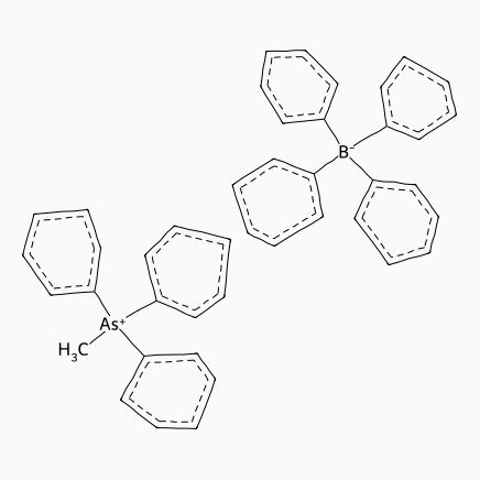 C[As+](c1ccccc1)(c1ccccc1)c1ccccc1.c1ccc([B-](c2ccccc2)(c2ccccc2)c2ccccc2)cc1